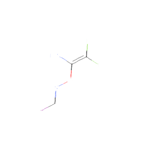 NC(ONCI)=C(F)F